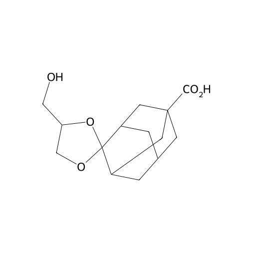 O=C(O)C12CC3CC(C1)C1(OCC(CO)O1)C(C3)C2